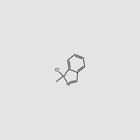 C[N+]1([O-])N=Cc2ccccc21